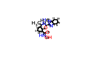 CC(NC(=O)c1nc2ccccc2n1C)c1cccc(C(=O)NO)c1